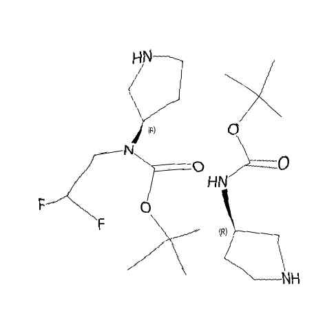 CC(C)(C)OC(=O)N(CC(F)F)[C@@H]1CCNC1.CC(C)(C)OC(=O)N[C@@H]1CCNC1